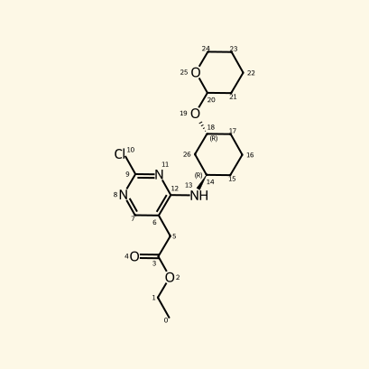 CCOC(=O)Cc1cnc(Cl)nc1N[C@@H]1CCC[C@@H](OC2CCCCO2)C1